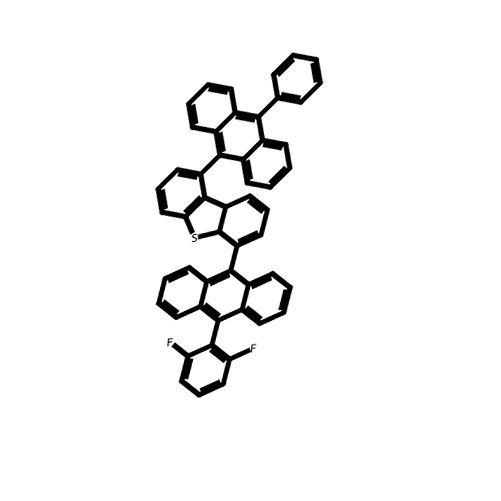 Fc1cccc(F)c1-c1c2ccccc2c(C2=CC=CC3c4c(cccc4-c4c5ccccc5c(-c5ccccc5)c5ccccc45)SC23)c2ccccc12